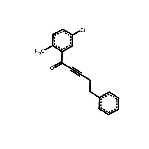 Cc1ccc(Cl)cc1C(=O)C#CCCc1ccccc1